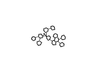 c1ccc(-c2cccc(N(c3ccc(-c4cccc5c(-c6ccccc6)c(-c6ccccc6)c6ccccc6c45)cc3)c3ccc(-c4ccccc4)c(-c4ccccc4)c3)c2)cc1